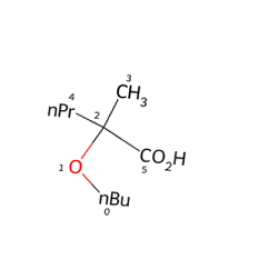 CCCCOC(C)(CCC)C(=O)O